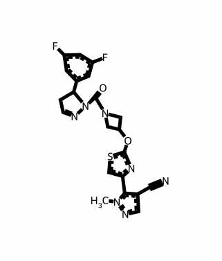 Cn1ncc(C#N)c1-c1csc(OC2CN(C(=O)N3N=CCC3c3cc(F)cc(F)c3)C2)n1